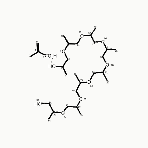 C=C(C)C(=O)O.CC(O)COC(C)COC(C)COC(C)COC(C)COC(C)COC(C)COC(C)CO